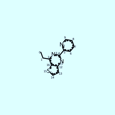 CCc1nc(-c2ccccn2)nc2ccsc12